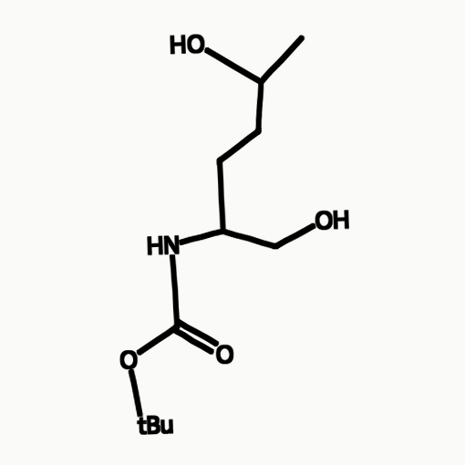 CC(O)CCC(CO)NC(=O)OC(C)(C)C